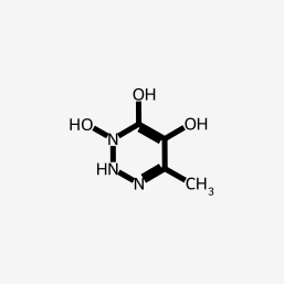 CC1=NNN(O)C(O)=C1O